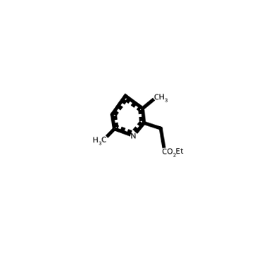 CCOC(=O)Cc1nc(C)ccc1C